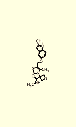 CNC(=O)C1(N2CSC(COc3ccc4oc(C)cc4c3)=C2C)COC1